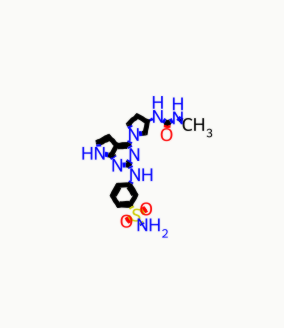 CNC(=O)N[C@@H]1CCN(c2nc(Nc3cccc(S(N)(=O)=O)c3)nc3[nH]ccc23)C1